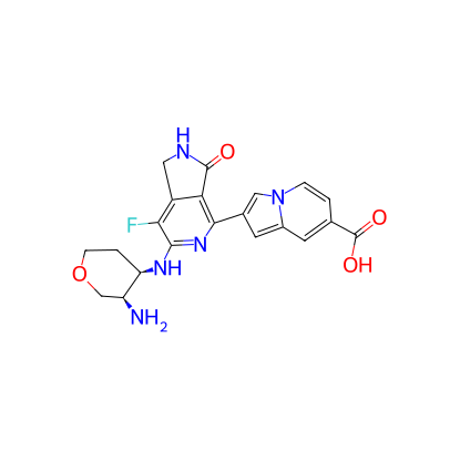 N[C@H]1COCC[C@H]1Nc1nc(-c2cc3cc(C(=O)O)ccn3c2)c2c(c1F)CNC2=O